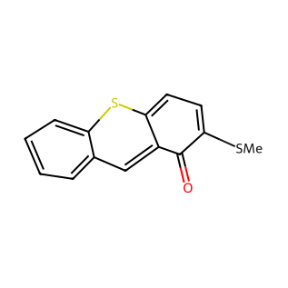 CSc1ccc2sc3ccccc3cc-2c1=O